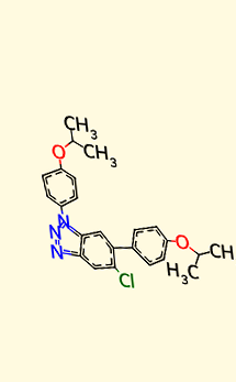 CC(C)Oc1ccc(-c2cc3c(cc2Cl)nnn3-c2ccc(OC(C)C)cc2)cc1